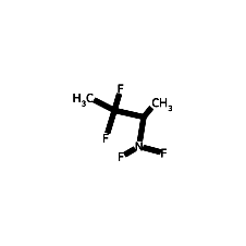 CC(N(F)F)C(C)(F)F